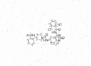 CC(=O)NC1(c2ccccc2)CCN(C(=O)NC(Cc2c[nH]c(=O)nc2NC(=O)c2c(Cl)cccc2Cl)C(=O)O)CC1